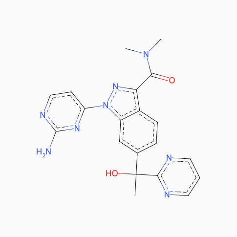 CN(C)C(=O)c1nn(-c2ccnc(N)n2)c2cc(C(C)(O)c3ncccn3)ccc12